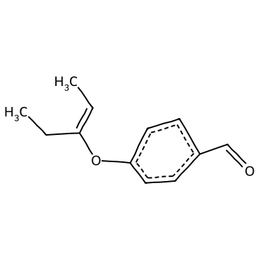 CC=C(CC)Oc1ccc(C=O)cc1